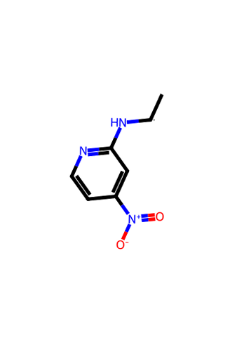 C[CH]Nc1cc([N+](=O)[O-])ccn1